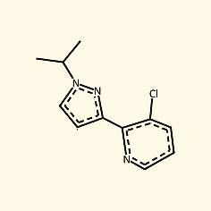 CC(C)n1c[c]c(-c2ncccc2Cl)n1